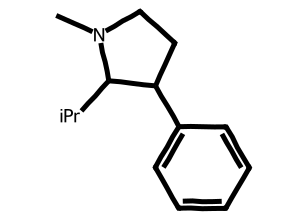 CC(C)C1C(c2ccccc2)CCN1C